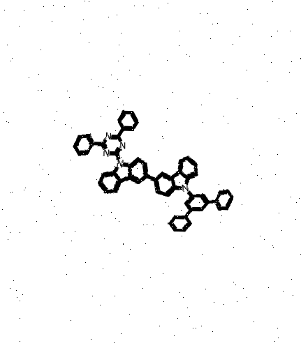 c1ccc(-c2cc(-c3ccccc3)cc(-n3c4ccccc4c4cc(-c5ccc6c(c5)c5ccccc5n6-c5nc(-c6ccccc6)nc(-c6ccccc6)n5)ccc43)c2)cc1